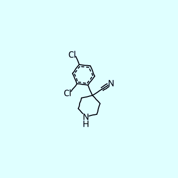 N#CC1(c2ccc(Cl)cc2Cl)CCNCC1